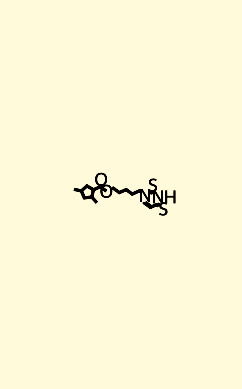 CC1CC(C)C(C(=O)OCCCCCn2ccc(=S)[nH]c2=S)C1